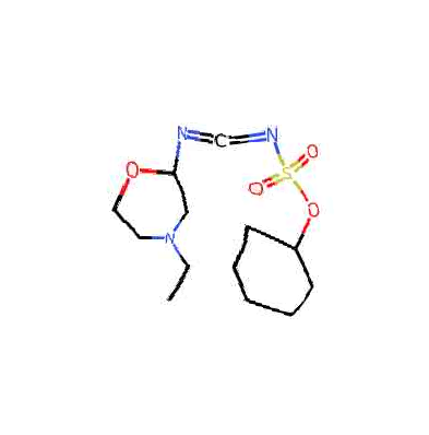 CCN1CCOC(N=C=NS(=O)(=O)OC2CCCCC2)C1